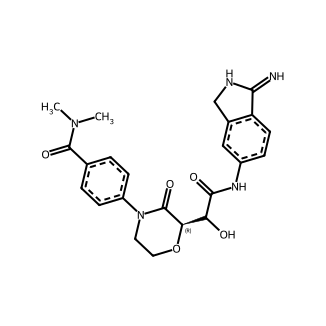 CN(C)C(=O)c1ccc(N2CCO[C@H](C(O)C(=O)Nc3ccc4c(c3)CNC4=N)C2=O)cc1